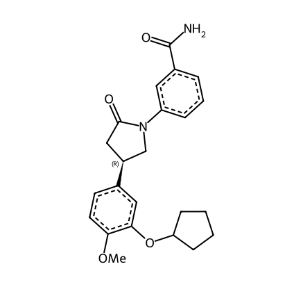 COc1ccc([C@H]2CC(=O)N(c3cccc(C(N)=O)c3)C2)cc1OC1CCCC1